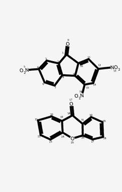 O=C1c2cc([N+](=O)[O-])ccc2-c2c1cc([N+](=O)[O-])cc2[N+](=O)[O-].O=c1c2ccccc2oc2ccccc12